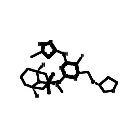 CCS(=O)(=O)N1[C@@H]2CCC[C@H]1C[C@H](N(C)c1nc(CO[C@@H]3CCOC3)c(F)c(Nc3cc(C)[nH]n3)n1)C2